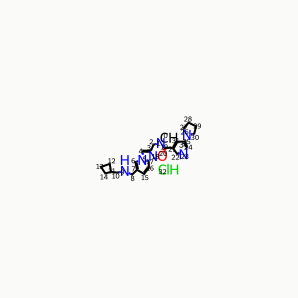 CN(Cc1cn2cc(CNCC3CCC3)ccc2n1)C(=O)c1cncc(N2CCCC2)c1.Cl